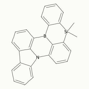 C[Si]1(C)c2ccccc2B2c3c(cccc31)-n1c3ccccc3c3cccc2c31